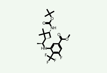 COC(=O)c1cc(F)c(C(F)(F)F)c(N[C@@H](C)[C@H]2C[C@@H](NC(=O)OC(C)(C)C)C2(C)C)c1